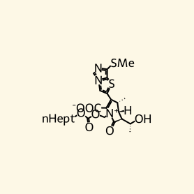 CCCCCCCOC(=O)OC[N+]12C(=O)[C@H]([C@@H](C)O)[C@H]1[C@@H](C)C(c1cn3cnc(SC)c3s1)=C2C(=O)[O-]